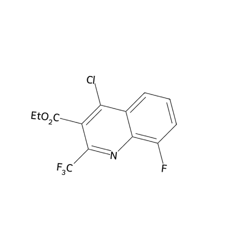 CCOC(=O)c1c(C(F)(F)F)nc2c(F)cccc2c1Cl